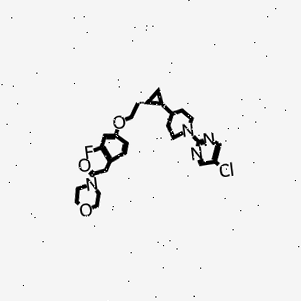 O=C(Cc1ccc(OCC[C@@H]2CC2C2CCN(c3ncc(Cl)cn3)CC2)cc1F)N1CCOCC1